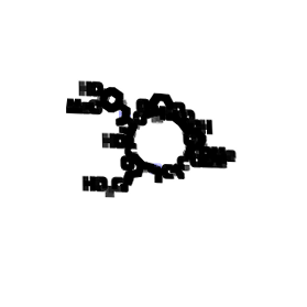 C=CC[C@@H]1/C=C(\C)C[C@H](C)C[C@H](OC)[C@H]2O[C@@](O)(C(=O)C(=O)N3CCCC[C@H]3C(=O)O[C@H](/C(C)=C/[C@@H]3CC[C@@H](O)[C@H](OC)C3)[C@H](C)[C@@H](O)CC1=O)[C@H](C)C[C@@H]2OC.CC(=O)O